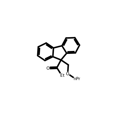 CCCOCC1(C(=O)CC)c2ccccc2-c2ccccc21